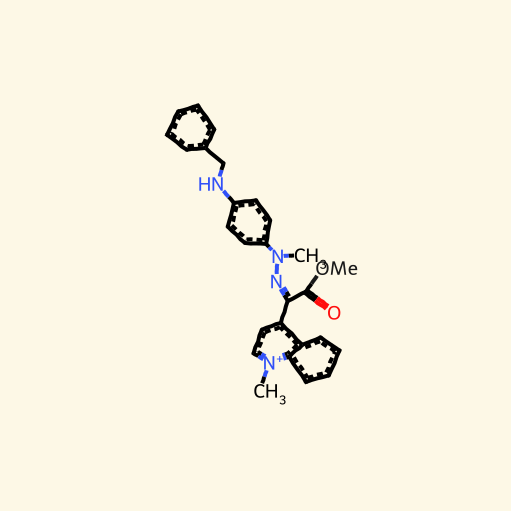 COC(=O)/C(=N\N(C)c1ccc(NCc2ccccc2)cc1)c1cc[n+](C)c2ccccc12